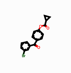 O=C(c1ccc(OC(=O)C2CC2)cc1)c1cccc(Br)c1